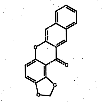 O=c1c2cc3ccccc3cc2oc2ccc3c(c12)OCO3